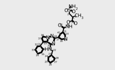 CC(CS(N)(=O)=O)C(=O)ONC(=O)c1cncc(-c2nc(NCc3ccccc3)c3c(-c4ccccc4)ccn3n2)c1